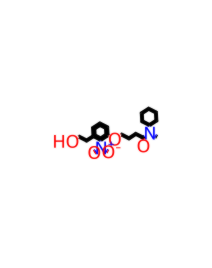 CN(C(=O)CCCOc1cccc(CCO)c1[N+](=O)[O-])C1CCCCC1